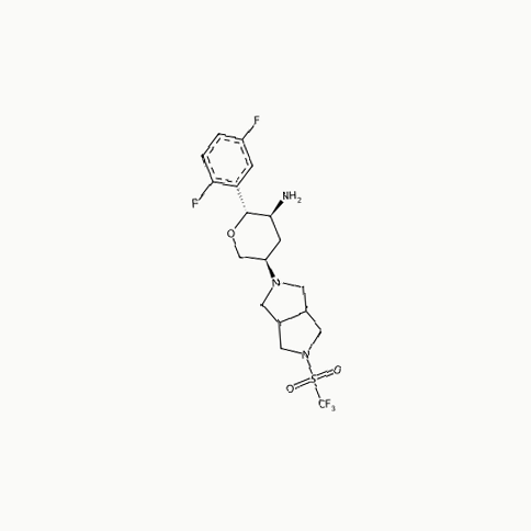 N[C@H]1C[C@@H](N2CC3CN(S(=O)(=O)C(F)(F)F)CC3C2)CO[C@@H]1c1cc(F)ccc1F